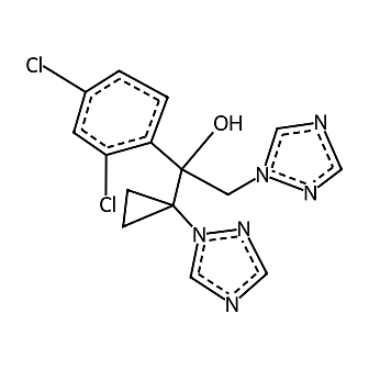 OC(Cn1cncn1)(c1ccc(Cl)cc1Cl)C1(n2cncn2)CC1